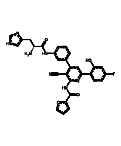 N#Cc1c(-c2cccc(NC(=O)[C@H](N)Cc3c[nH]cn3)c2)cc(-c2ccc(F)cc2O)nc1NC(=O)c1ccco1